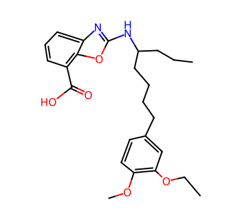 CCCC(CCCCc1ccc(OC)c(OCC)c1)Nc1nc2cccc(C(=O)O)c2o1